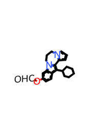 O=COc1ccc2c(C3CCCCC3)c3n(c2c1)CCCn1cccc1-3